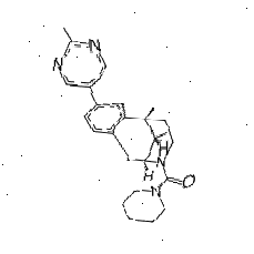 Cc1ncc(-c2ccc3c(c2)[C@]2(C)CCN(C(=O)N4CCCCC4)[C@H](C3)[C@H]2C)cn1